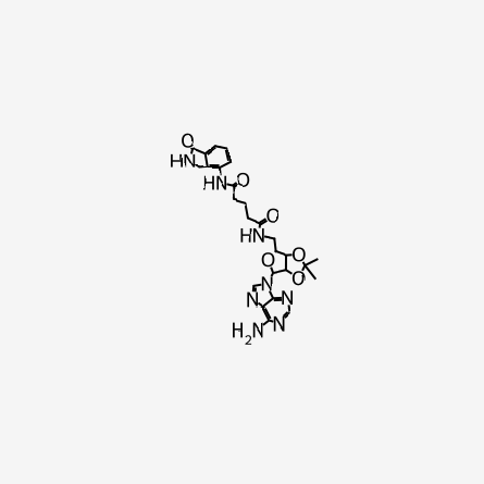 CC1(C)OC2C(CNC(=O)CCCC(=O)Nc3cccc4c3CNC4=O)OC(n3cnc4c(N)ncnc43)C2O1